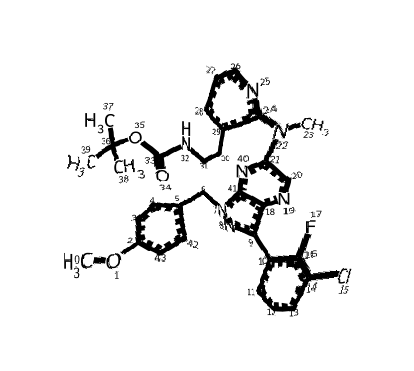 COc1ccc(Cn2nc(-c3cccc(Cl)c3F)c3ncc(N(C)c4ncccc4CCNC(=O)OC(C)(C)C)nc32)cc1